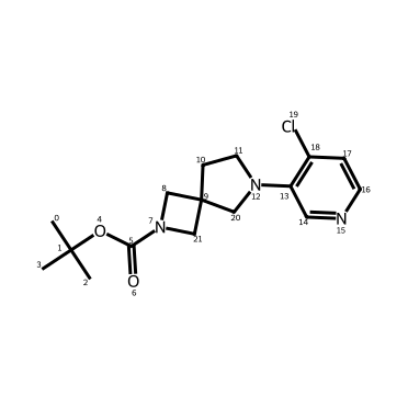 CC(C)(C)OC(=O)N1CC2(CCN(c3cnccc3Cl)C2)C1